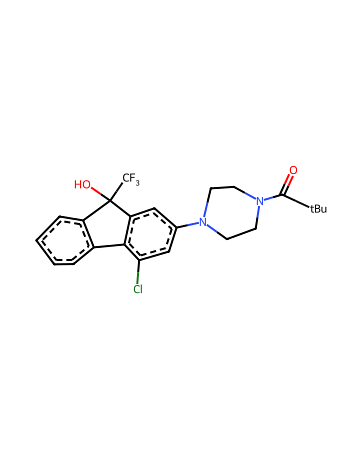 CC(C)(C)C(=O)N1CCN(c2cc(Cl)c3c(c2)C(O)(C(F)(F)F)c2ccccc2-3)CC1